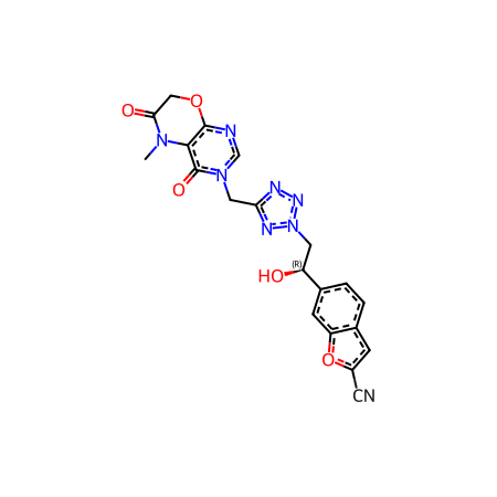 CN1C(=O)COc2ncn(Cc3nnn(C[C@H](O)c4ccc5cc(C#N)oc5c4)n3)c(=O)c21